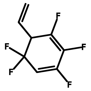 C=CC1C(F)=C(F)C(F)=CC1(F)F